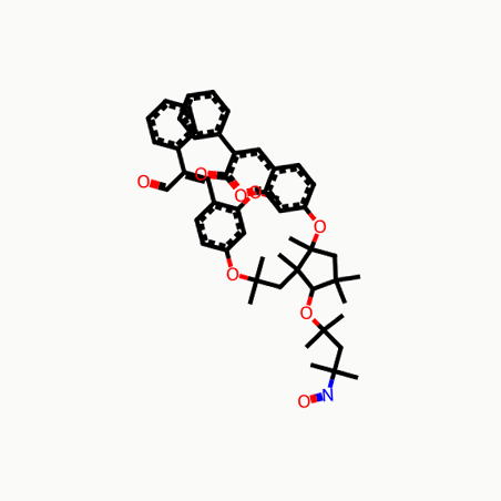 COc1cc(OC(C)(C)CC2(C)C(OC(C)(C)CC(C)(C)N=O)C(C)(C)CC2(C)Oc2ccc3cc(-c4ccccc4)c(=O)oc3c2)ccc1/C=C(\C=O)c1ccccc1